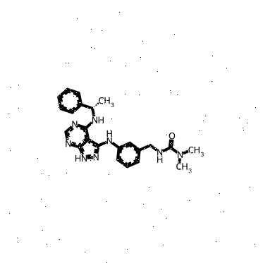 C[C@H](Nc1ncnc2[nH]nc(Nc3cccc(CNC(=O)N(C)C)c3)c12)c1ccccc1